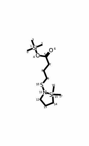 C[Si](C)(C)OC(=O)CCCSN1CCC[Si]1(C)C